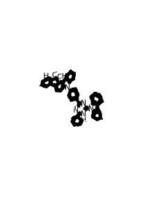 CC1(C)c2ccccc2-c2ccc3c(c21)c1ccccc1n3-c1ccc(C2=NC(c3ccccc3)NC(n3c4ccccc4c4ccccc43)=N2)cc1